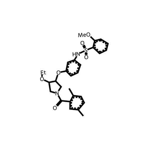 CCOC1CN(C(=O)c2cc(C)ccc2C)CC1Oc1cccc(NS(=O)(=O)c2ccccc2OC)c1